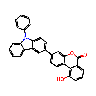 O=c1oc2cc(-c3ccc4c(c3)c3ccccc3n4-c3ccccc3)ccc2c2c(O)cccc12